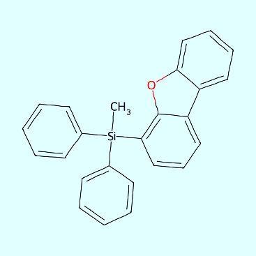 C[Si](c1ccccc1)(c1ccccc1)c1cccc2c1oc1ccccc12